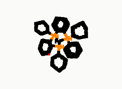 c1ccc([PH](c2ccccc2)(c2ccccc2)[Pd]([PH](c2ccccc2)(c2ccccc2)c2ccccc2)[PH](c2ccccc2)(c2ccccc2)c2ccccc2)cc1